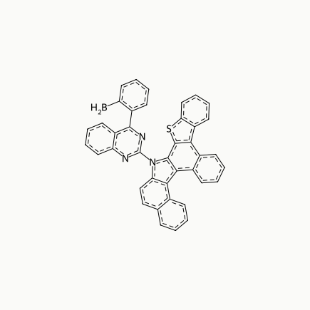 Bc1ccccc1-c1nc(-n2c3ccc4ccccc4c3c3c4ccccc4c4c5ccccc5sc4c32)nc2ccccc12